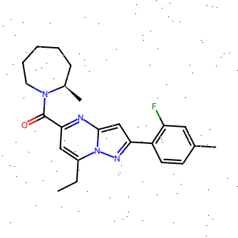 CCc1cc(C(=O)N2CCCCC[C@H]2C)nc2cc(-c3ccc(C)cc3F)nn12